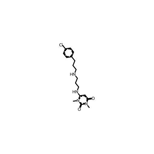 Cn1c(NCCCNCCCc2ccc(Cl)cc2)cc(=O)n(C)c1=O